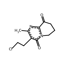 Cc1nc2n(c(=O)c1CCCl)CCCC2=O